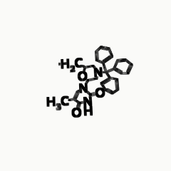 [CH2]C1CN(C(c2ccccc2)(c2ccccc2)c2ccccc2)CC(n2cc(C)c(=O)[nH]c2=O)O1